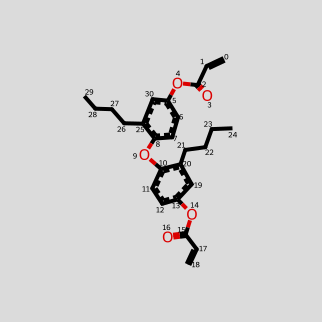 C=CC(=O)Oc1ccc(Oc2ccc(OC(=O)C=C)cc2CCCC)c(CCCC)c1